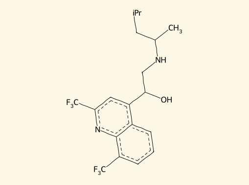 CC(C)CC(C)NCC(O)c1cc(C(F)(F)F)nc2c(C(F)(F)F)cccc12